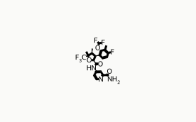 Cc1c(F)ccc([C@H]2[C@@H](C(=O)Nc3ccnc(C(N)=O)c3)O[C@@](C)(C(F)(F)F)[C@H]2C)c1OC(F)F